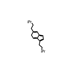 CC(C)CCC1=CC2=CC=C(CCC(C)C)C2=CC1